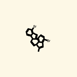 CC1=Cc2c(Br)cccc2C1/C=C\C1C(C)=Cc2c(Br)cccc21